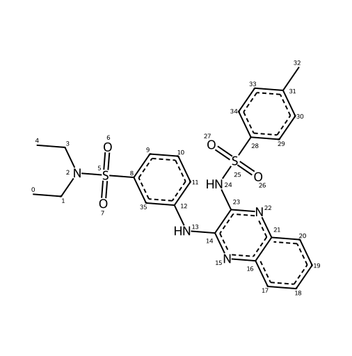 CCN(CC)S(=O)(=O)c1cccc(Nc2nc3ccccc3nc2NS(=O)(=O)c2ccc(C)cc2)c1